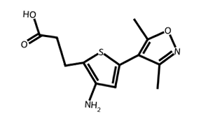 Cc1noc(C)c1-c1cc(N)c(CCC(=O)O)s1